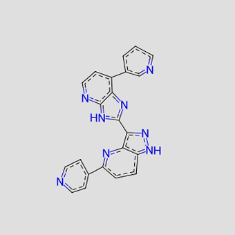 c1cncc(-c2ccnc3[nH]c(-c4n[nH]c5ccc(-c6ccncc6)nc45)nc23)c1